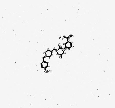 COc1ccc(CN2CCC(CN3CC(C)CN(c4cccc(C(=N)N)c4)C3=O)CC2)cc1